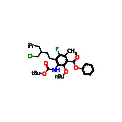 CCCCOc1c(NC(=O)OC(C)(C)C)c(CC[C@@H](CCl)CC(C)C)c(F)c(C)c1C(=O)Oc1ccccc1